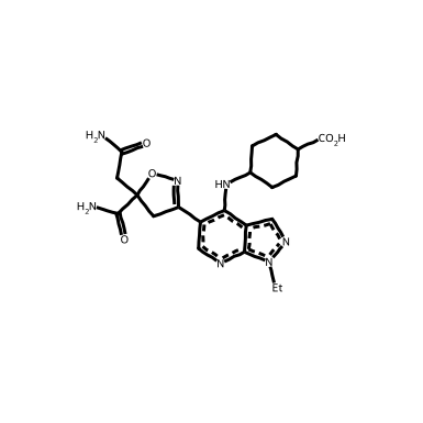 CCn1ncc2c(NC3CCC(C(=O)O)CC3)c(C3=NOC(CC(N)=O)(C(N)=O)C3)cnc21